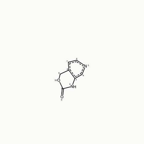 O=C1Nc2cnccc2CO1